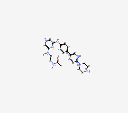 CC(=O)N(C)CCN(C)c1cncc(Oc2ccc(-c3ccc(N4CCNCC4)nc3)cc2)n1